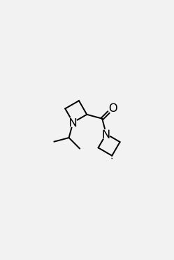 CC(C)N1CCC1C(=O)N1C[CH]C1